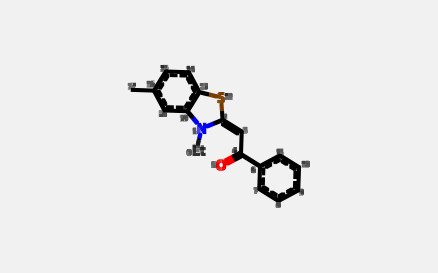 CCN1C(=CC(=O)c2ccccc2)Sc2ccc(C)cc21